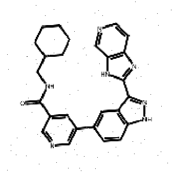 O=C(NCC1CCCCC1)c1cncc(-c2ccc3[nH]nc(-c4nc5ccncc5[nH]4)c3c2)c1